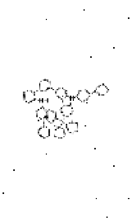 CC1(C2(c3ccccc3)c3ccccc3-c3cc4c(cc32)c2cc(-c3cccc(-c5ccccc5Nc5ccc(-c6ccccc6)cc5)c3)ccc2n4-c2ccc(-c3ccccc3)cc2)C=CC=CC1